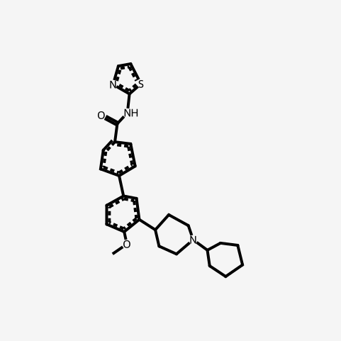 COc1ccc(-c2ccc(C(=O)Nc3nccs3)cc2)cc1C1CCN(C2CCCCC2)CC1